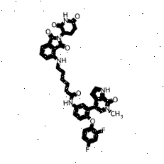 Cn1cc(-c2cc(NC(=O)CCCCCNc3cccc4c3C(=O)N(C3CCC(=O)NC3=O)C4=O)ccc2Oc2ccc(F)cc2F)c2cc[nH]c2c1=O